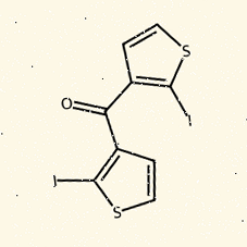 O=C(c1ccsc1I)c1ccsc1I